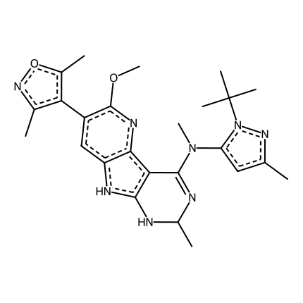 COc1nc2c3c([nH]c2cc1-c1c(C)noc1C)NC(C)N=C3N(C)c1cc(C)nn1C(C)(C)C